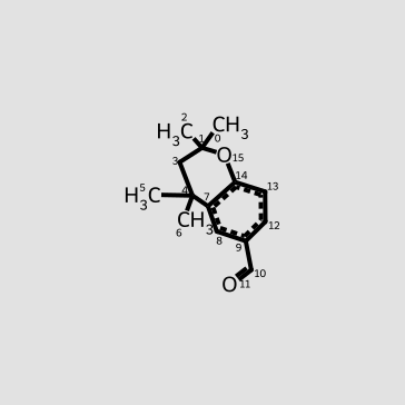 CC1(C)CC(C)(C)c2cc(C=O)ccc2O1